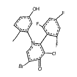 Cc1ccc(O)cc1-n1cc(Br)c(=O)c(Cl)c1-c1c(F)cc(F)cc1F